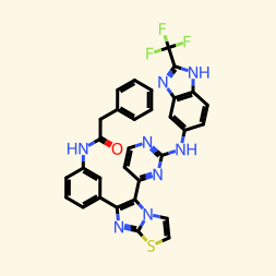 O=C(Cc1ccccc1)Nc1cccc(-c2nc3sccn3c2-c2ccnc(Nc3ccc4[nH]c(C(F)(F)F)nc4c3)n2)c1